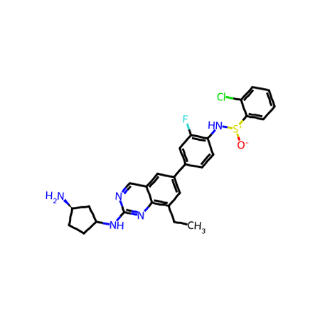 CCc1cc(-c2ccc(N[S+]([O-])c3ccccc3Cl)c(F)c2)cc2cnc(NC3CC[C@@H](N)C3)nc12